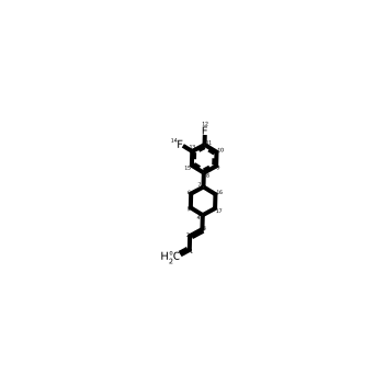 C=C/C=C/C1CCC(c2ccc(F)c(F)c2)CC1